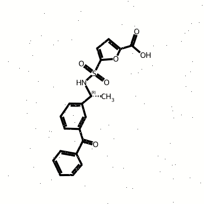 C[C@@H](NS(=O)(=O)c1ccc(C(=O)O)o1)c1cccc(C(=O)c2ccccc2)c1